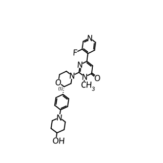 Cn1c(N2CCO[C@@H](c3ccc(N4CCC(O)CC4)cc3)C2)nc(-c2ccncc2F)cc1=O